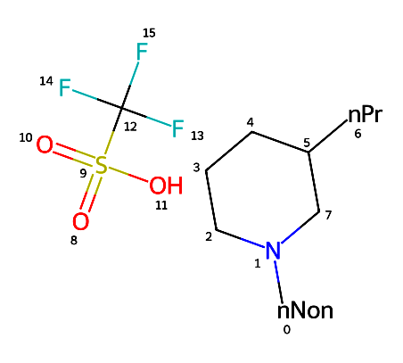 CCCCCCCCCN1CCCC(CCC)C1.O=S(=O)(O)C(F)(F)F